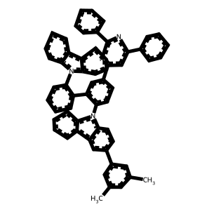 Cc1cc(C)cc(-c2ccc3c(c2)c2ccccc2n3-c2ccc(-c3cc(-c4ccccc4)nc(-c4ccccc4)n3)cc2-c2ccccc2-n2c3ccccc3c3ccccc32)c1